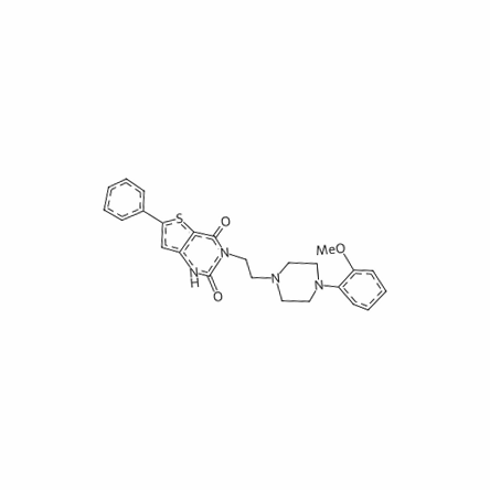 COc1ccccc1N1CCN(CCn2c(=O)[nH]c3cc(-c4ccccc4)sc3c2=O)CC1